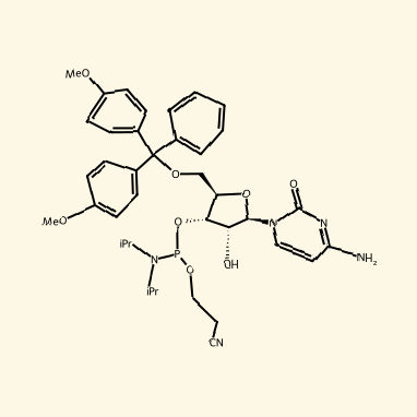 COc1ccc(C(OC[C@H]2O[C@@H](n3ccc(N)nc3=O)[C@H](O)[C@@H]2OP(OCCC#N)N(C(C)C)C(C)C)(c2ccccc2)c2ccc(OC)cc2)cc1